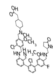 COc1cc(CNc2cccc(-c3cccc(-c4cc(F)c(CNCC5CCC(=O)N5)c(OC)c4)c3Cl)c2C=N)c(Cl)cc1CN(C)C1CCC(CC(=O)O)CC1